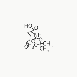 CC(C)(C)OC(=O)N[C@]1(C(=O)O)C[C@H]1CC=O